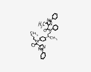 CCCCN(C(=O)c1cnn(-c2ccccc2)n1)c1ccc(C(C)CCN(C(=O)c2nn(-c3ccccc3)nc2C)c2ccccc2)cc1